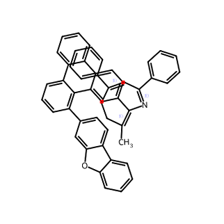 C\C1=C(c2ccc3c4ccccc4c4cccc(-c5ccc6c(c5)oc5ccccc56)c4c3c2)/N=C(c2ccccc2)\C=C(\c2ccccc2)CC1